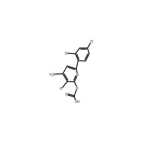 Nc1cc(-c2ccc(Cl)cc2Cl)nc(OC(=O)O)c1Cl